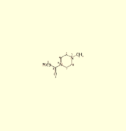 CSC(=O)N1CCN(C)CC1